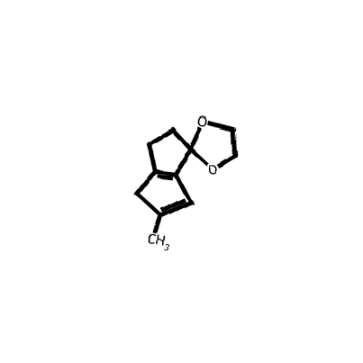 CC1=CC2=C(CCC23OCCO3)C1